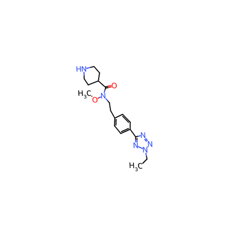 CCn1nnc(-c2ccc(CCN(OC)C(=O)C3CCNCC3)cc2)n1